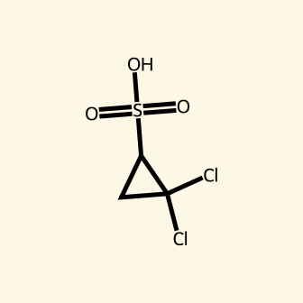 O=S(=O)(O)C1CC1(Cl)Cl